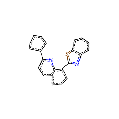 c1ccc(-c2ccc3cccc(-c4nc5ccccc5s4)c3n2)cc1